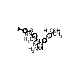 C[C@@H]1[C@H](NC(=O)c2ccc(C3CC3)cc2)CCCN1c1cnc(C(N)=O)c(Nc2ccc(N3CCC(C(C)(C)O)CC3)cc2)n1